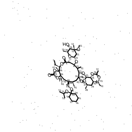 CC[C@H]1OC(=O)[C@H](C)[C@@H](O[C@H]2C[C@@](C)(OC)[C@@H](O)[C@H](C)O2)C(C)[C@@H](O[C@@H]2O[C@H](C)C[C@H](N(C)C)[C@H]2OC(C)=O)[C@](C)(OC)C[C@@H](C)/C(=N\OC2(OC(C)C)CCCCC2)[C@H](C)[C@H]2OC(=O)O[C@@]21C